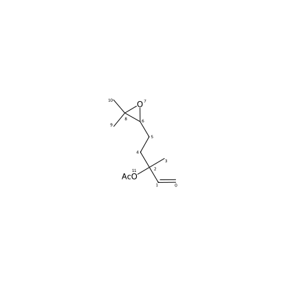 C=CC(C)(CCC1OC1(C)C)OC(C)=O